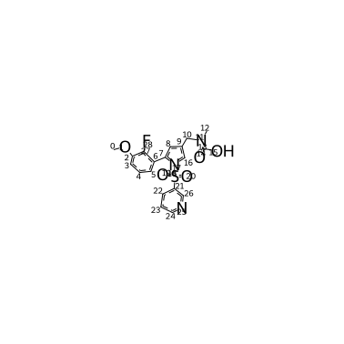 COc1cccc(-c2cc(CN(C)C(=O)O)cn2S(=O)(=O)c2cccnc2)c1F